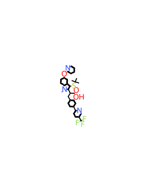 Cn1c(C(Cc2ccc(-c3ccc(C(F)(F)F)cn3)cc2)C(=O)O)c(SC(C)(C)C)c2cc(Oc3ccccn3)ccc21